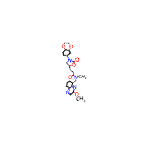 COc1cnc2cccc(CN(C)C(=O)CCC3CN(c4ccc5c(c4)OCCO5)C(=O)O3)c2n1